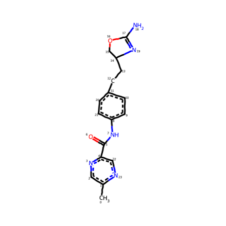 Cc1cnc(C(=O)Nc2ccc(CCC3COC(N)=N3)cc2)cn1